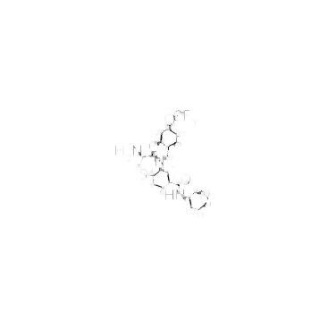 N[C@H]1CSc2ccc(C(=O)Nc3cccnc3)cc2N(Cc2ccc(OC(F)(F)F)cc2)C1=O